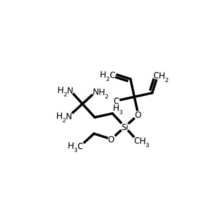 C=CC(C)(C=C)O[Si](C)(CCC(N)(N)N)OCC